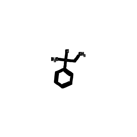 CC[Si](C)(Cl)c1ccccc1